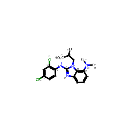 CCC(Cn1c(Nc2ccc(Cl)cc2Cl)nc2cccc(N(CC)CC)c21)C(=O)O